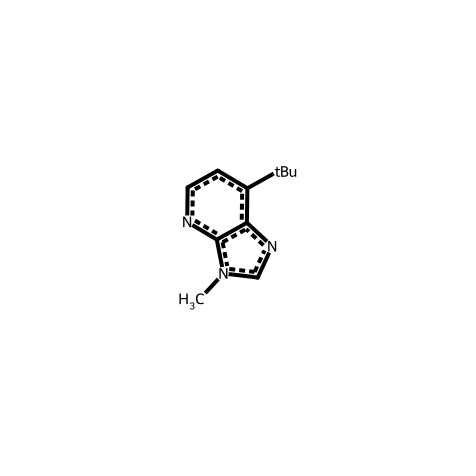 Cn1cnc2c(C(C)(C)C)ccnc21